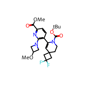 COC(=O)c1ccc(C2=CC3(CCN2C(=O)OC(C)(C)C)CC(F)(F)C3)c(N2CC(OC)C2)n1